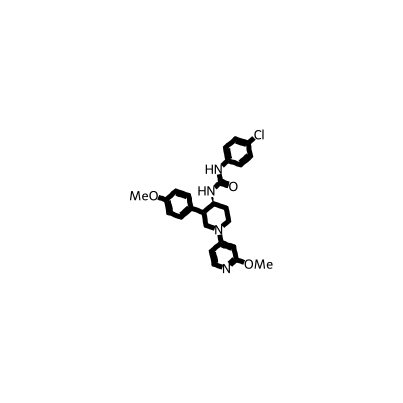 COc1ccc(C2CN(c3ccnc(OC)c3)CC[C@H]2NC(=O)Nc2ccc(Cl)cc2)cc1